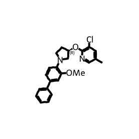 COc1cc(-c2ccccc2)ccc1N1CC[C@@H](Oc2ncc(C)cc2Cl)C1